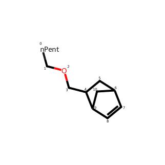 CCCCCCOCC1CC2C=CC1C2